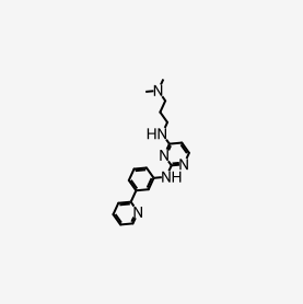 CN(C)CCCNc1ccnc(Nc2cccc(-c3ccccn3)c2)n1